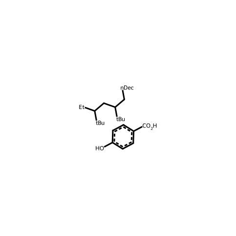 CCCCCCCCCCCC(CC(CC)C(C)(C)C)C(C)(C)C.O=C(O)c1ccc(O)cc1